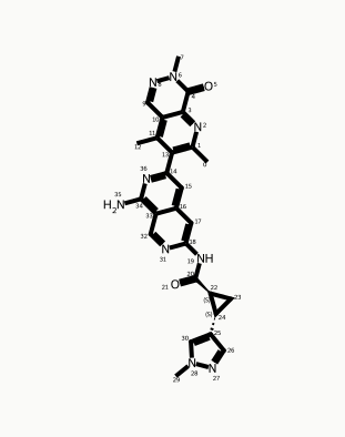 Cc1nc2c(=O)n(C)ncc2c(C)c1-c1cc2cc(NC(=O)[C@H]3C[C@@H]3c3cnn(C)c3)ncc2c(N)n1